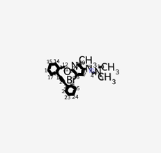 CCN(C)/C=N/c1cc(Br)c(OCc2ccccc2C#Cc2ccccc2)nc1C